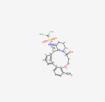 Cc1cccc2c1OCCC(=O)N1CCC[C@H](NS(=O)(=O)C(F)F)[C@@H]1Cc1cccc-2c1F